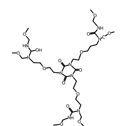 COCNC(=O)N(CCCOCCn1c(=O)n(CCOCCN(COC)C(=O)NCOC)c(=O)n(CCOCCN(COC)C(O)NCOC)c1=O)COC